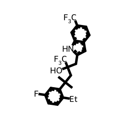 CCc1ccc(F)cc1C(C)(C)CC(O)(Cc1cc2ccc(C(F)(F)F)cc2[nH]1)C(F)(F)F